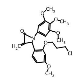 C=C1C(=O)N(c2cc(OC)c(OC)c(OC)c2)C1c1ccc(OC)cc1OCCCCl